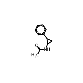 [CH2]C(=O)NC1CC1c1ccccc1